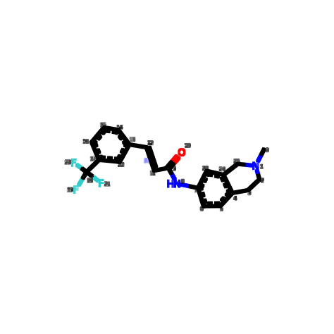 CN1CCc2ccc(NC(=O)/C=C/c3cccc(C(F)(F)F)c3)cc2C1